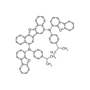 CC(C)c1ccc(N(c2cc3c4cc(N(c5ccc(C(C)C)cc5)c5cccc6c5oc5ccccc56)c5ccccc5c4oc3c3ccccc23)c2cccc3c2oc2ccccc23)cc1